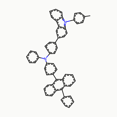 Cc1ccc(-n2c3ccccc3c3cc(-c4ccc(N(c5ccccc5)c5ccc(-c6c7ccccc7c(-c7ccccc7)c7ccccc67)cc5)cc4)ccc32)cc1